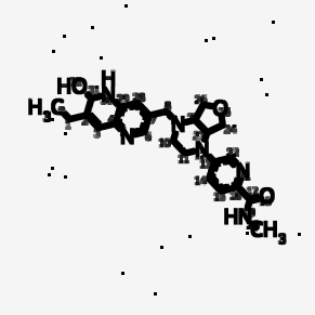 CCC1=Cc2ncc(CN3CCN(c4ccc(C(=O)NC)nc4)C4COCC43)cc2NC1O